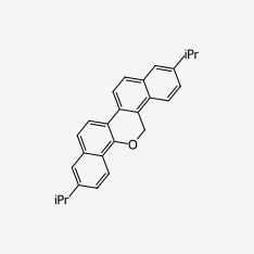 CC(C)c1ccc2c3c(ccc2c1)-c1ccc2cc(C(C)C)ccc2c1OC3